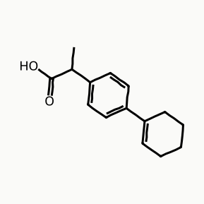 CC(C(=O)O)c1ccc(C2=CCCCC2)cc1